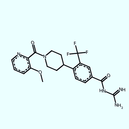 COc1cccnc1C(=O)N1CCC(c2ccc(C(=O)NC(=N)N)cc2C(F)(F)F)CC1